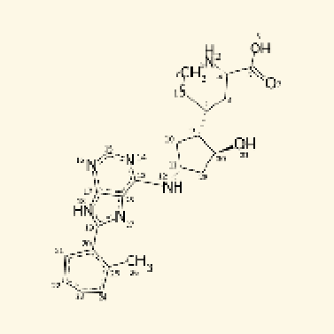 CSC(C[C@H](N)C(=O)O)[C@H]1C[C@@H](Nc2ncnc3[nH]c(-c4ccccc4C)nc23)C[C@@H]1O